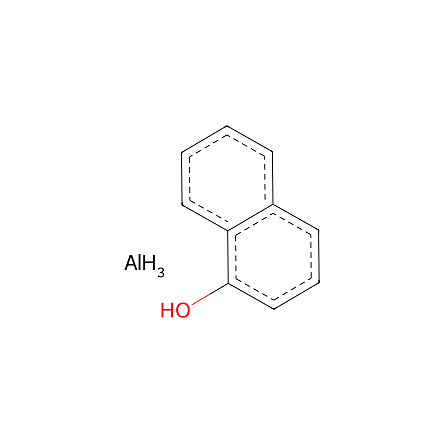 Oc1cccc2ccccc12.[AlH3]